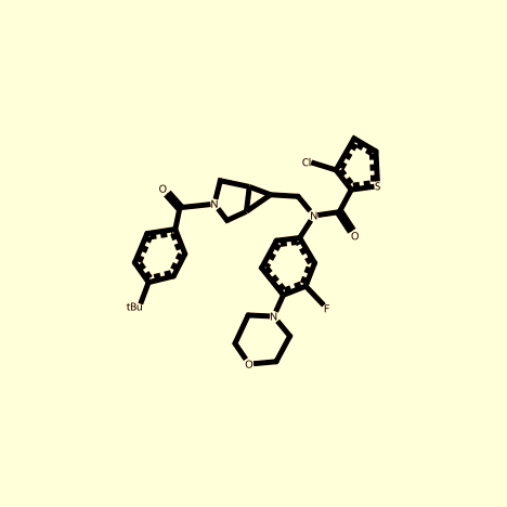 CC(C)(C)c1ccc(C(=O)N2CC3C(C2)C3CN(C(=O)c2sccc2Cl)c2ccc(N3CCOCC3)c(F)c2)cc1